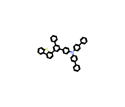 c1ccc(-c2ccc(N(c3ccc(-c4ccccc4)cc3)c3ccc(-c4cc(-c5ccccc5)cc(-c5cccc6c5sc5ccccc56)c4)cc3)cc2)cc1